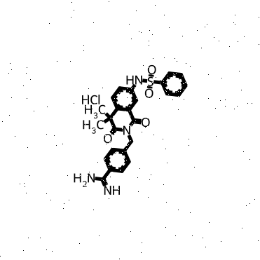 CC1(C)C(=O)N(Cc2ccc(C(=N)N)cc2)C(=O)c2cc(NS(=O)(=O)c3ccccc3)ccc21.Cl